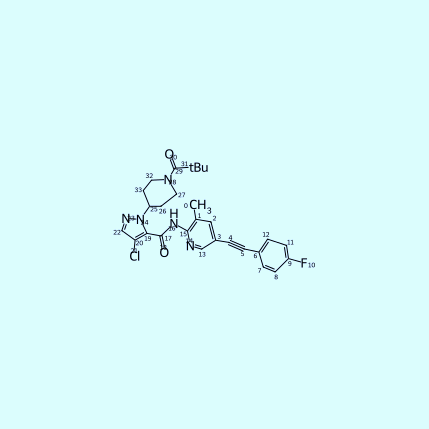 Cc1cc(C#Cc2ccc(F)cc2)cnc1NC(=O)c1c(Cl)cnn1C1CCN(C(=O)C(C)(C)C)CC1